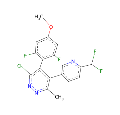 COc1cc(F)c(-c2c(Cl)nnc(C)c2-c2ccc(C(F)F)nc2)c(F)c1